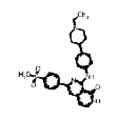 CCN1CCC(c2ccc(Nc3nc(-c4ccc(S(C)(=O)=O)cc4)cc4cc[nH]c(=O)c34)cc2)CC1